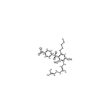 CCCCCc1cc(O)c(C/C=C(\C)CCC=C(C)C)c(O)c1S(=O)(=O)c1ccc([N+](=O)[O-])cc1